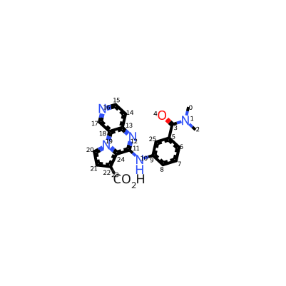 CN(C)C(=O)c1cccc(Nc2nc3ccncc3n3ccc(C(=O)O)c23)c1